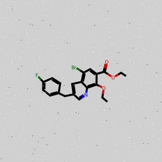 CCOC(=O)c1cc(Br)c2cc(Cc3ccc(F)cc3)cnc2c1OCC